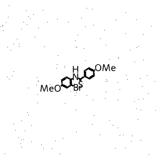 COc1ccc(C(=S)Nc2ccc(OC)cc2Br)cc1